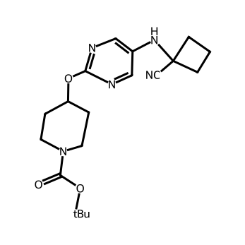 CC(C)(C)OC(=O)N1CCC(Oc2ncc(NC3(C#N)CCC3)cn2)CC1